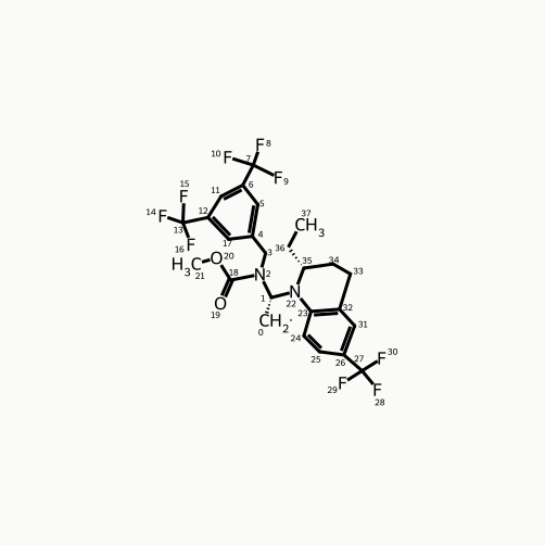 [CH2][C@H](N(Cc1cc(C(F)(F)F)cc(C(F)(F)F)c1)C(=O)OC)N1c2ccc(C(F)(F)F)cc2CC[C@H]1CC